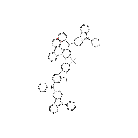 CC1(C)c2cc(N(c3ccccc3)c3ccc4c(c3)c3ccccc3n4-c3ccccc3)ccc2-c2cc3c(cc21)C(C)(C)c1cc(N(c2ccccc2)c2ccc4c(c2)c2ccccc2n4-c2ccccc2)c2c4ccccc4c4ccccc4c2c1-3